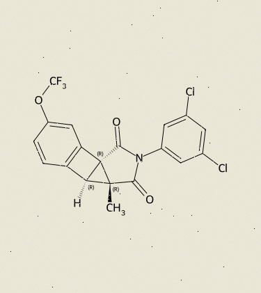 C[C@]12C(=O)N(c3cc(Cl)cc(Cl)c3)C(=O)[C@]13c1cc(OC(F)(F)F)ccc1[C@H]23